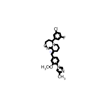 COc1cc(/C=C2\CCCN3C2=NOCCC3c2cc(F)cc(Cl)c2)ccc1-n1cnc(C)c1